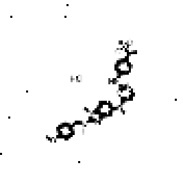 COc1ccc(CNc2nc3cc(N(C)c4ccnc(Nc5ccc(C(C)S(C)(=O)=O)cc5)n4)ccc3n2C)cc1.Cl